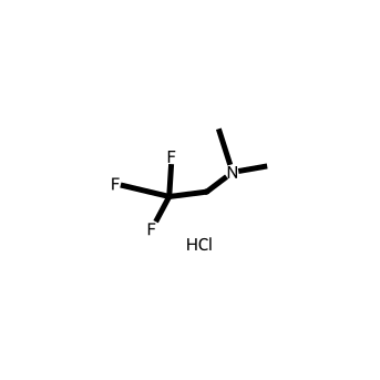 CN(C)CC(F)(F)F.Cl